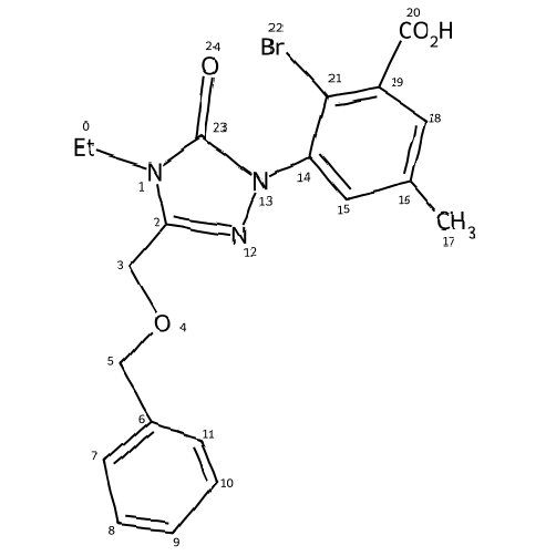 CCn1c(COCc2ccccc2)nn(-c2cc(C)cc(C(=O)O)c2Br)c1=O